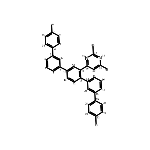 Cc1ccc(-c2cccc(-c3ccc(-c4cccc(-c5ccc(C)cc5)c4)c(-c4cc(C)nc(C)n4)c3)c2)cc1